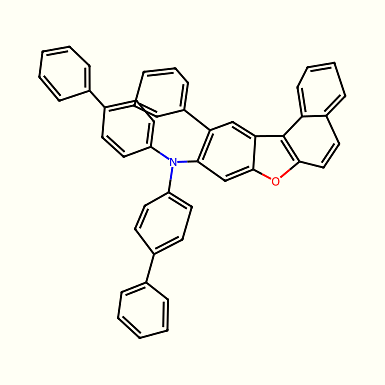 c1ccc(-c2ccc(N(c3ccc(-c4ccccc4)cc3)c3cc4oc5ccc6ccccc6c5c4cc3-c3ccccc3)cc2)cc1